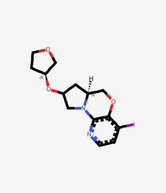 Ic1ccnc2c1OC[C@@H]1CC(O[C@H]3CCOC3)CN21